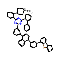 C[C@@H]1C=CC=C(c2ccccc2-c2nc(-c3cccc(-c4ccc(-c5cccc(-c6cccc7c6sc6ccccc67)c5)c5ccccc45)c3)nc(-c3ccccc3-c3ccccc3)n2)C=C1